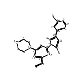 C=Cc1nc(N2CCOCC2)cc(-n2nc(-c3cccc(C)c3)cc2C)n1